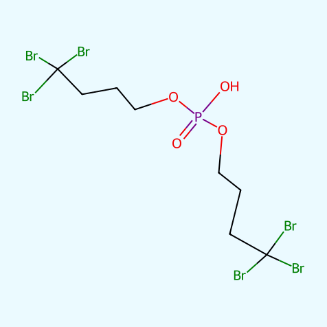 O=P(O)(OCCCC(Br)(Br)Br)OCCCC(Br)(Br)Br